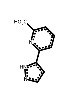 O=C(O)c1cccc(-c2ccn[nH]2)n1